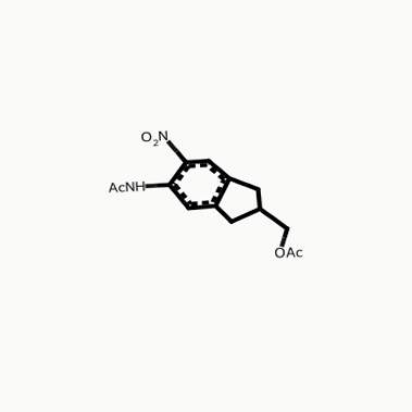 CC(=O)Nc1cc2c(cc1[N+](=O)[O-])CC(COC(C)=O)C2